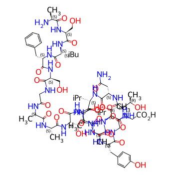 CC[C@H](C)[C@H](NC(=O)[C@H](CO)NC(=O)[C@H](C)N)C(=O)N[C@@H](Cc1ccccc1)C(=O)N[C@@H](CO)C(=O)NCC(=O)N[C@@H](C)C(=O)N[C@@H](C)C(=O)N[C@@H](CO)C(=O)N[C@@H](CC(C)C)C(=O)NCC(=O)N[C@@H](Cc1ccc(O)cc1)C(=O)NCC(=O)N[C@H](C(=O)N[C@@H](CC(N)=O)C(=O)N[C@H](C(=O)N[C@@H](C)C(=O)N[C@@H](C)C(=O)N[C@H](C(=O)NCC(=O)O)[C@@H](C)O)C(C)C)[C@@H](C)O